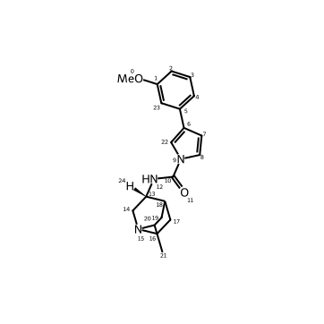 COc1cccc(-c2ccn(C(=O)N[C@H]3CN4CCC3CC4C)c2)c1